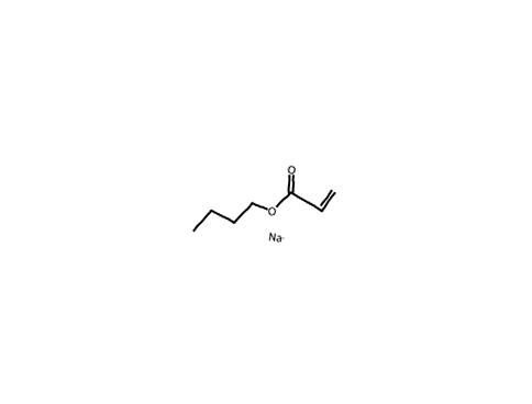 C=CC(=O)OCCCC.[Na]